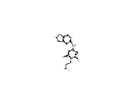 NCCn1c(=O)cc(Nc2ccc3c(c2)CCC3)[nH]c1=O